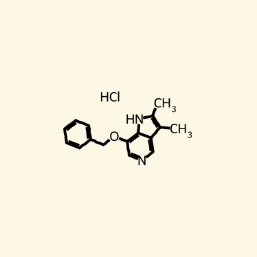 Cc1[nH]c2c(OCc3ccccc3)cncc2c1C.Cl